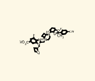 C[C@]1(c2ccc(C#N)cc2F)Oc2cccc(N3CCN(Cc4nc5c(F)cc(C(=O)O)cc5n4C[C@@H]4CCO4)[C@H]4CC[C@H]43)c2O1